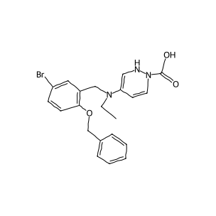 CCN(Cc1cc(Br)ccc1OCc1ccccc1)C1=CNN(C(=O)O)C=C1